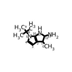 CC1c2ccn(C(C)(C)C)c2NC1N